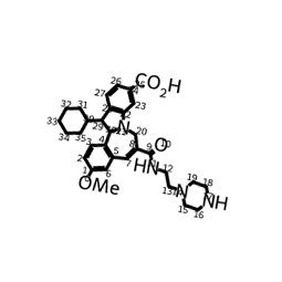 COc1ccc2c(c1)C=C(C(=O)NCCN1CCNCC1)CN1c3cc(C(=O)O)ccc3C(C3CCCCC3)C21